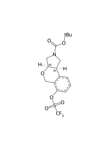 CC(C)(C)OC(=O)N1C[C@@H]2OCc3c(OS(=O)(=O)C(F)(F)F)cccc3[C@@H]2C1